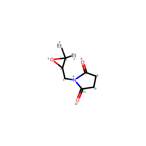 CCC1(CC)OC1CN1C(=O)CCC1=O